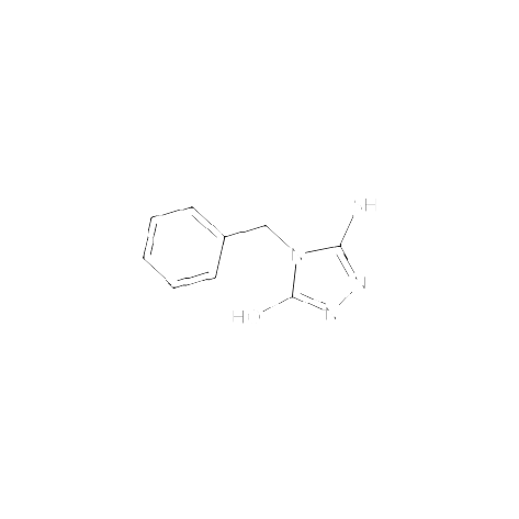 Oc1nnc(S)n1Cc1ccccc1